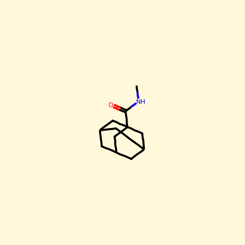 CNC(=O)C12CC3CC(CC(C3)C1)C2